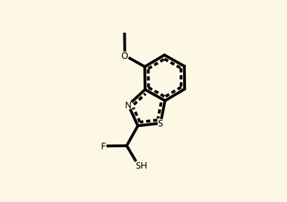 COc1cccc2sc(C(F)S)nc12